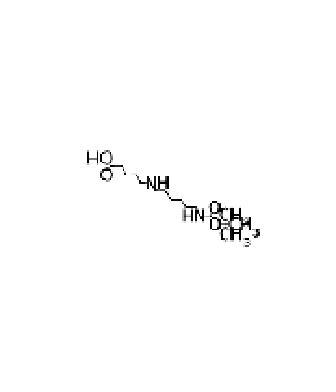 CC(C)(C)OC(=O)NCCCCCCNCCCCC(=O)O